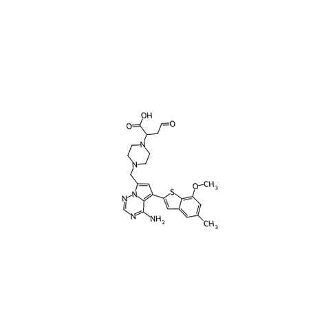 COc1cc(C)cc2cc(-c3cc(CN4CCN(C(CC=O)C(=O)O)CC4)n4ncnc(N)c34)sc12